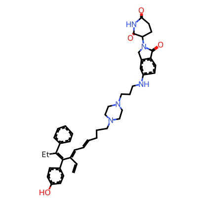 C=CC(=C\C=C\CCCN1CCN(CCCNc2ccc3c(c2)CN(C2CCC(=O)NC2=O)C3=O)CC1)/C(=C(/CC)c1ccccc1)c1ccc(O)cc1